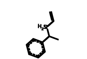 C=C[SiH2]C(C)c1ccccc1